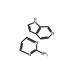 Nc1ncccn1.c1cc2cc[nH]c2cn1